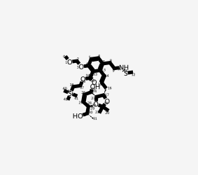 COCOc1ccc(CCNSC)c(/C=C/C[C@@H]2OC(C)(C)O[C@@H]2C(O)/C=C\[C@@H](C)[C@H](C)O)c1C(=O)OCC[Si](C)(C)C